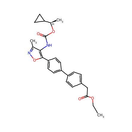 CCOC(=O)Cc1ccc(-c2ccc(-c3onc(C)c3NC(=O)O[C@H](C)C3CC3)cc2)cc1